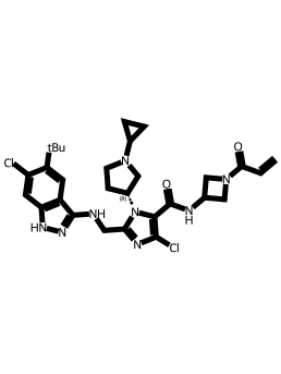 C=CC(=O)N1CC(NC(=O)c2c(Cl)nc(CNc3n[nH]c4cc(Cl)c(C(C)(C)C)cc34)n2[C@@H]2CCN(C3CC3)C2)C1